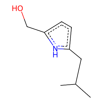 CC(C)Cc1ccc(CO)[nH]1